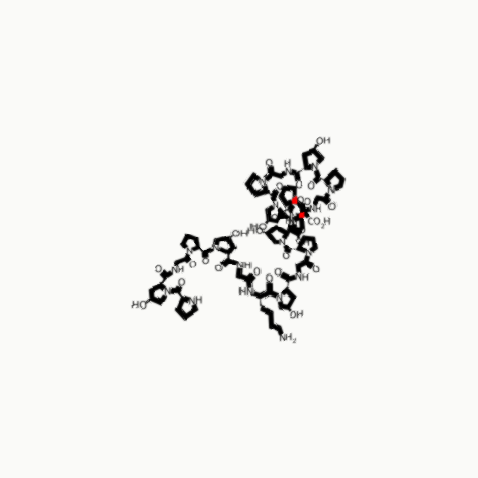 NCCCC[C@H](NC(=O)CNC(=O)[C@@H]1C[C@@H](O)CN1C(=O)[C@@H]1CCCN1C(=O)CNC(=O)[C@@H]1C[C@@H](O)CN1C(=O)[C@@H]1CCCN1)C(=O)N1C[C@H](O)C[C@H]1C(=O)NCC(=O)N1CCC[C@H]1C(=O)N1C[C@H](O)C[C@H]1C(=O)NCC(=O)N1CCC[C@H]1C(=O)N1C[C@H](O)C[C@H]1C(=O)NCC(=O)N1CCC[C@H]1C(=O)N1C[C@H](O)C[C@H]1C(=O)NCC(=O)N1CCC[C@H]1C(=O)N1C[C@H](O)C[C@H]1C(=O)NCC(=O)O